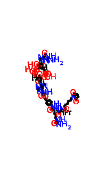 CC(C)[C@H](NC(=O)CCCCCN1C(=O)C=CC1=O)C(=O)N[C@@H](CCCNC(N)=O)C(=O)Nc1ccc(COC(=O)Nc2ncnc3c2ncn3[C@@H]2O[C@@H]3COP(=O)(O)OC4C(O)[C@H](n5cnc6c(=O)[nH]c(N)nc65)O[C@@H]4COP(=O)(O)OC2C3O)cc1